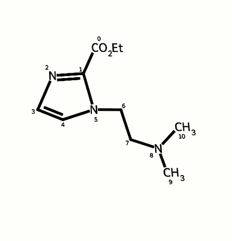 CCOC(=O)c1nccn1CCN(C)C